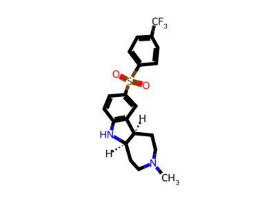 CN1CC[C@@H]2c3cc(S(=O)(=O)c4ccc(C(F)(F)F)cc4)ccc3N[C@@H]2CC1